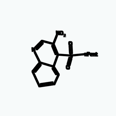 CCCCCS(=O)(=O)c1c([N+](=O)[O-])cnc2ccccc12